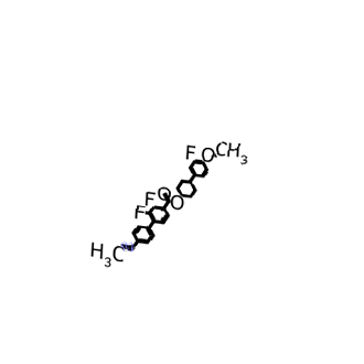 C/C=C/c1ccc(-c2ccc(C(=O)OC3CCC(c4ccc(OCC)c(F)c4)CC3)c(F)c2F)cc1